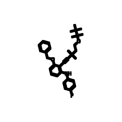 CC(C)(C#Cc1c(Nc2ccc(F)cc2)cccc1OCc1ccccc1)CCO[Si](C)(C)C(C)(C)C